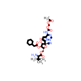 CC(=O)OCOC(=O)Nc1ncnn2c([C@]3(C#N)O[C@H](COC(=O)C(N)C(C)(C)C)[C@@H](OC(=O)CC4CCCCC4)[C@H]3O)ccc12